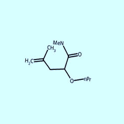 C=C(C)CC(OCCC)C(=O)NC